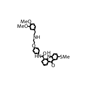 COc1ccc(CCNCCOc2ccc(NC(=O)c3cccc4c(=O)c5cc(SC)ccc5[nH]c34)cc2)cc1OC